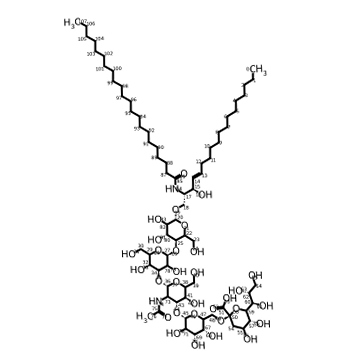 CCCCCCCCCCCCC/C=C/[C@@H](O)[C@H](CO[C@@H]1OC(CO)[C@@H](O[C@@H]2OC(CO)[C@H](O)[C@H](O[C@@H]3OC(CO)[C@@H](O)[C@H](O[C@@H]4OC(CO[C@]5(C(=O)O)CC(O)[C@@H](O)C([C@H](O)[C@H](O)CO)O5)[C@H](O)[C@H](O)C4O)C3NC(C)=O)C2O)[C@H](O)C1O)NC(=O)CCCCCCCCCCCCCCCCCCCCC